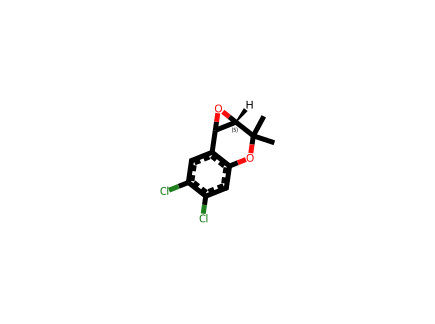 CC1(C)Oc2cc(Cl)c(Cl)cc2C2O[C@@H]21